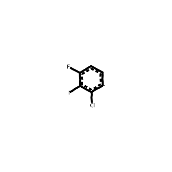 Fc1cc[c]c(Cl)c1I